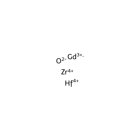 [Gd+3].[Hf+4].[O-2].[Zr+4]